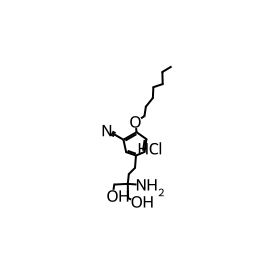 CCCCCCCOc1ccc(CCC(N)(CO)CO)cc1C#N.Cl